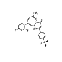 CC1=NN2C(=O)C=C(c3ccc(C(F)(F)F)cc3)NC2C=C(c2ccc(F)cc2F)C=C1